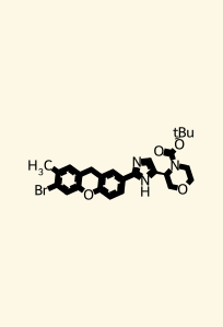 Cc1cc2c(cc1Br)Oc1ccc(-c3ncc([C@@H]4COCCN4C(=O)OC(C)(C)C)[nH]3)cc1C2